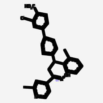 Cc1cc(/C(CC(c2ccc(-c3ccc(C(=O)O)c(Cl)c3)cc2)c2ccccc2C)=N/O)ccn1